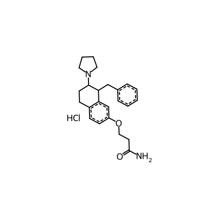 Cl.NC(=O)CCOc1ccc2c(c1)C(Cc1ccccc1)C(N1CCCC1)CC2